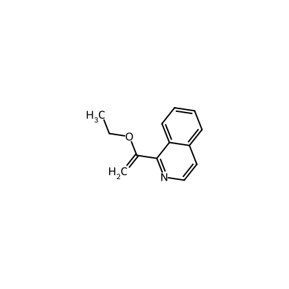 C=C(OCC)c1nccc2ccccc12